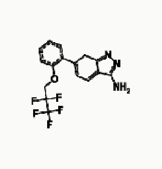 NC1=NN=C2CC(c3ccccc3OCC(F)(F)C(F)(F)F)=CC=C12